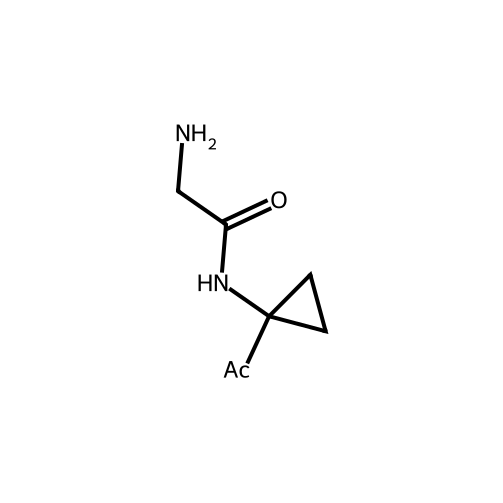 CC(=O)C1(NC(=O)CN)CC1